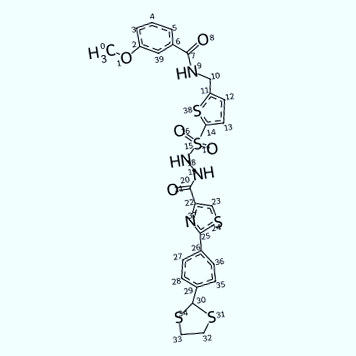 COc1cccc(C(=O)NCc2ccc(S(=O)(=O)NNC(=O)c3csc(-c4ccc(C5SCCS5)cc4)n3)s2)c1